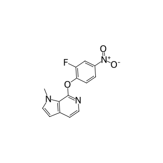 Cn1ccc2ccnc(Oc3ccc([N+](=O)[O-])cc3F)c21